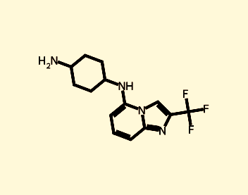 NC1CCC(Nc2cccc3nc(C(F)(F)F)cn23)CC1